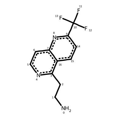 NCCc1nccc2nc(C(F)(F)F)ccc12